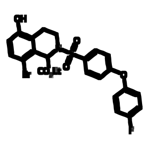 CCOC(=O)C1c2c(Br)ccc(O)c2CCN1S(=O)(=O)c1ccc(Oc2ccc(F)cc2)cc1